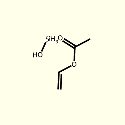 C=COC(C)=O.O[SiH3]